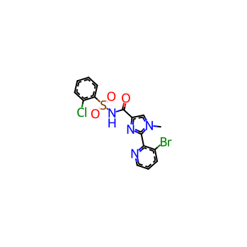 Cn1cc(C(=O)NS(=O)(=O)c2ccccc2Cl)nc1-c1ncccc1Br